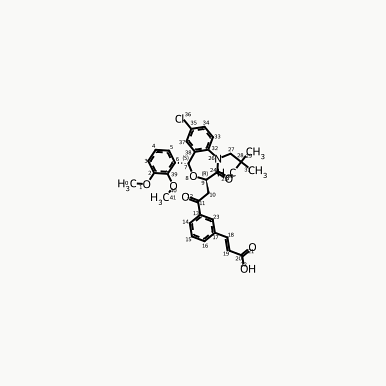 COc1cccc([C@H]2O[C@H](CC(=O)c3cccc(C=CC(=O)O)c3)C(=O)N(CC(C)(C)C)c3ccc(Cl)cc32)c1OC